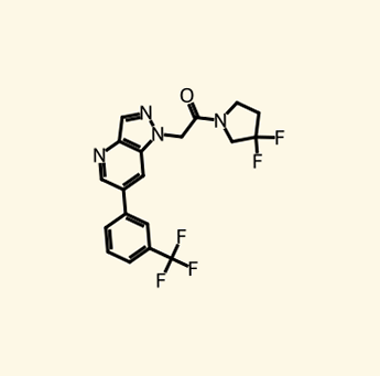 O=C(Cn1ncc2ncc(-c3cccc(C(F)(F)F)c3)cc21)N1CCC(F)(F)C1